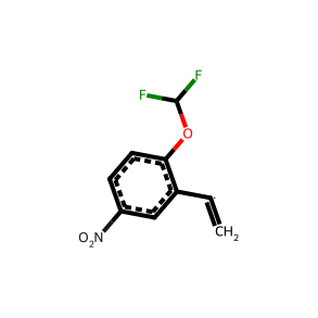 C=[C]c1cc([N+](=O)[O-])ccc1OC(F)F